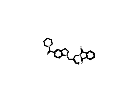 O=C(c1ccc2c(c1)CCN2C/C(=C/F)CN1C(=O)c2ccccc2C1=O)N1CCCCC1